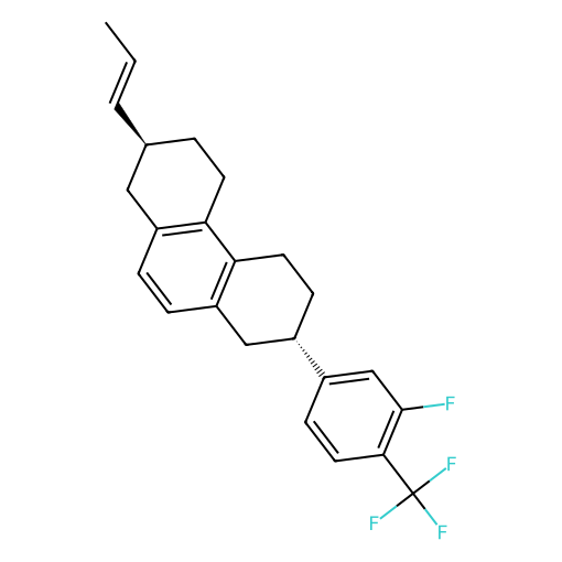 CC=C[C@H]1CCc2c(ccc3c2CC[C@H](c2ccc(C(F)(F)F)c(F)c2)C3)C1